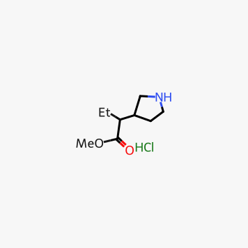 CCC(C(=O)OC)C1CCNC1.Cl